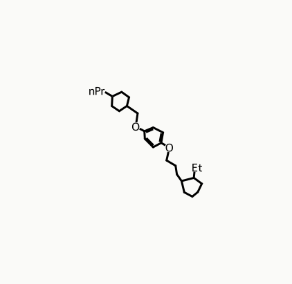 CCCC1CCC(COc2ccc(OCCCC3CCCCC3CC)cc2)CC1